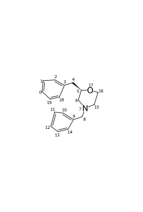 c1ccc(C[C@@H]2CN(Cc3ccccc3)CCO2)cc1